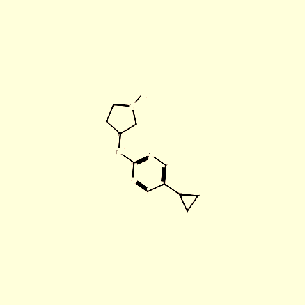 O=C(O)N1CCC(Nc2ncc(C3CC3)cn2)C1